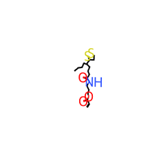 C=CC(=O)OCCCNC(=O)CCCC(CCCC)C1CCSS1